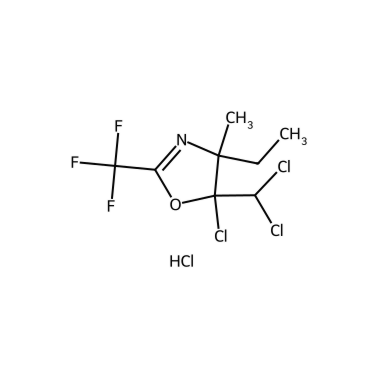 CCC1(C)N=C(C(F)(F)F)OC1(Cl)C(Cl)Cl.Cl